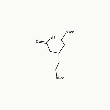 CCCCCCCCCCCCC(CCCCCCCCCCCC)CC(=O)S